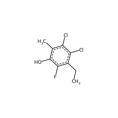 CCc1c(F)c(O)c(C)c(Cl)c1Cl